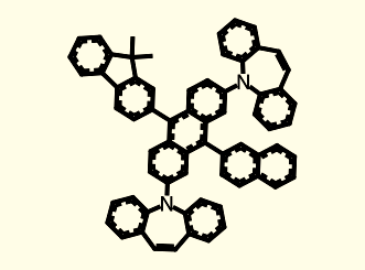 CC1(C)c2ccccc2-c2ccc(-c3c4ccc(N5c6ccccc6C=Cc6ccccc65)cc4c(-c4ccc5ccccc5c4)c4cc(N5c6ccccc6C=Cc6ccccc65)ccc34)cc21